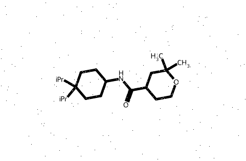 CC(C)C1(C(C)C)CCC(NC(=O)C2CCOC(C)(C)C2)CC1